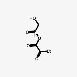 CCC(=O)C(=O)O[PH](=O)CO